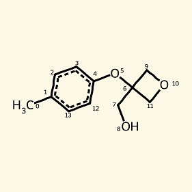 Cc1ccc(OC2(CO)COC2)cc1